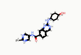 CC(C)c1ncc(NC(=O)c2ccc3cnc(NC4CCC(O)CC4)nc3c2)cn1